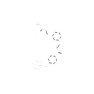 O=C(/C=C/c1cccc(/C=C/C(=O)c2ccc(CN3CCNCC3)cc2)c1)NO